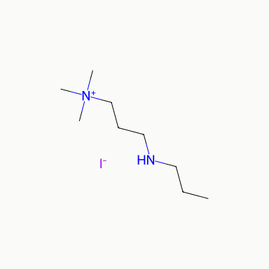 CCCNCCC[N+](C)(C)C.[I-]